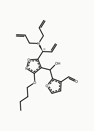 C=CCN(CC=C)[C@@H](C=C)c1onc(OCCCC)c1C(O)c1occc1C=O